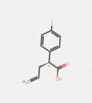 C=CC[C@H](C(=O)O)c1ccc(F)cc1